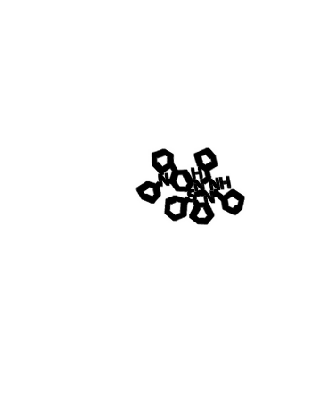 C1=CC(S(C2=NC(c3ccccc3)NC(c3ccccc3)N2)(c2ccccc2)C2C=Cc3c(n(-c4ccccc4)c4ccccc34)C2)=CCC1